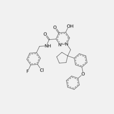 O=C(NCc1ccc(F)c(Cl)c1)c1nn(CC2(c3cccc(Oc4ccccc4)c3)CCCC2)cc(O)c1=O